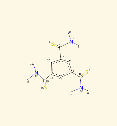 CN(C)C(=S)c1cc(C(=S)N(C)C)cc(C(=S)N(C)C)c1